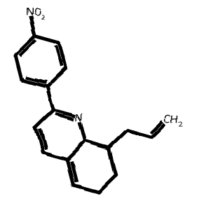 C=CCC1CCC=C2C=CC(c3ccc([N+](=O)[O-])cc3)=NC21